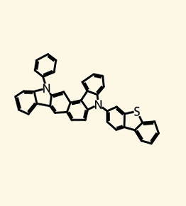 c1ccc(-n2c3ccccc3c3cc4ccc5c(c4cc32)c2ccccc2n5-c2ccc3c(c2)sc2ccccc23)cc1